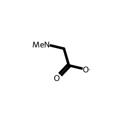 CNCC([O])=O